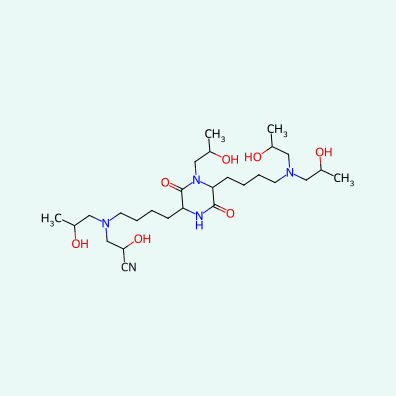 CC(O)CN(CCCCC1C(=O)NC(CCCCN(CC(C)O)CC(O)C#N)C(=O)N1CC(C)O)CC(C)O